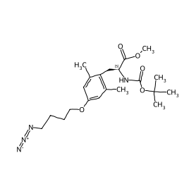 COC(=O)[C@H](Cc1c(C)cc(OCCCCN=[N+]=[N-])cc1C)NC(=O)OC(C)(C)C